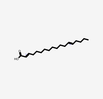 CCCC/C=C/CCCCCCCCC/C=C/C(=O)O